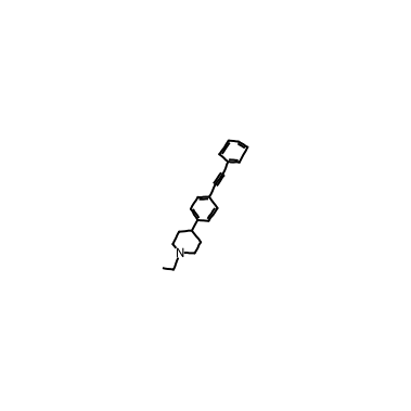 CCN1CCC(c2ccc(C#Cc3ccccc3)cc2)CC1